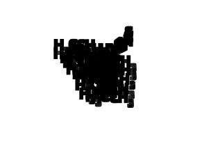 CC(C)O[Si](CCCNC(=S)Nc1ccc(N=C=S)cc1)(OC(C)C)O[SiH](C(C)C(C)C(C)C(C)C(C)C(C)C(C)C)C(C)C(C)C(C)C(C)C(C)C(C)C(C)C(C)C(C)C(C)C